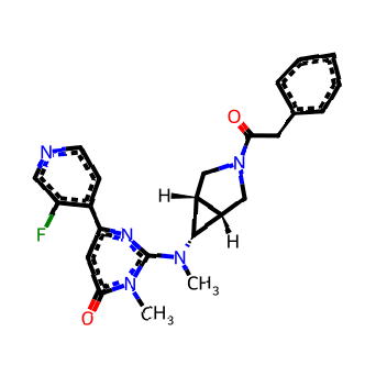 CN(c1nc(-c2ccncc2F)cc(=O)n1C)[C@@H]1[C@@H]2CN(C(=O)Cc3ccccc3)C[C@@H]21